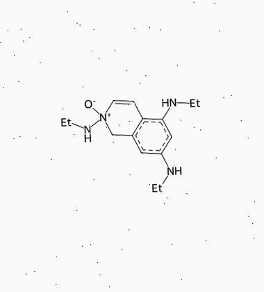 CCNc1cc2c(c(NCC)c1)C=C[N+]([O-])(NCC)C2